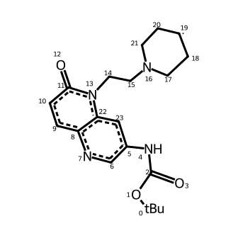 CC(C)(C)OC(=O)Nc1cnc2ccc(=O)n(CCN3CC[CH]CC3)c2c1